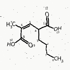 CCCCC(C=C(C)C(=O)O)C(=O)O